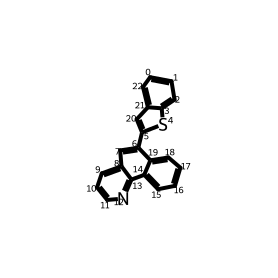 c1ccc2sc(-c3cc4cccnc4c4ccccc34)cc2c1